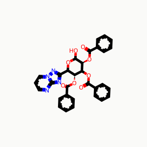 O=C(OC1[C@H](OC(=O)c2ccccc2)C(O)OC(c2nc3ncccn3n2)[C@H]1OC(=O)c1ccccc1)c1ccccc1